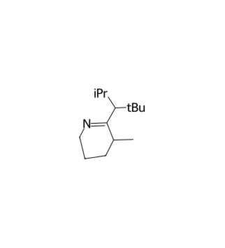 CC1CCCN=C1C(C(C)C)C(C)(C)C